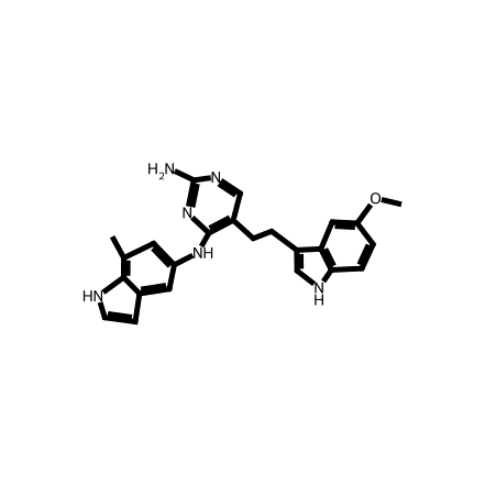 COc1ccc2[nH]cc(CCc3cnc(N)nc3Nc3cc(C)c4[nH]ccc4c3)c2c1